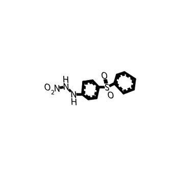 O=[N+]([O-])NNc1ccc(S(=O)(=O)c2ccccc2)cc1